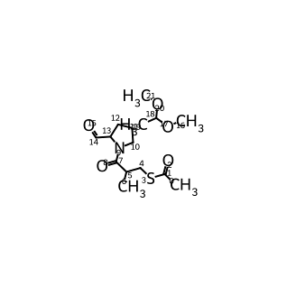 CC(=O)SCC(C)C(=O)N1CCCC1C=O.COC(C)OC